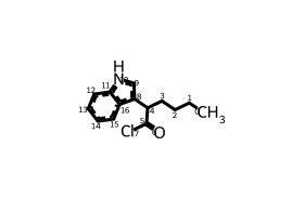 CCCCC(C(=O)Cl)c1c[nH]c2ccccc12